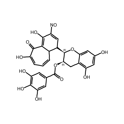 O=NC1=CC([C@H]2Oc3cc(O)cc(O)c3C[C@H]2OC(=O)c2cc(O)c(O)c(O)c2)C2C=CC=C(O)C(=O)C2=C1O